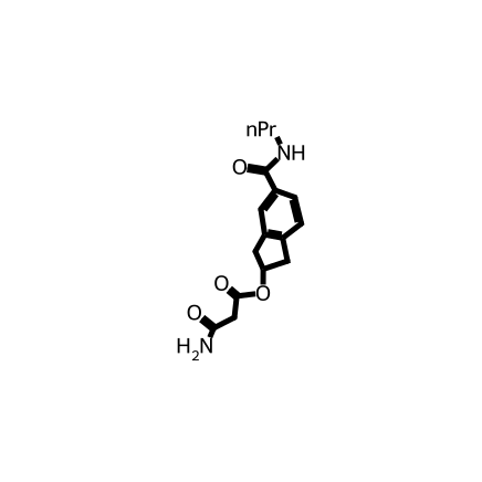 CCCNC(=O)c1ccc2c(c1)CC(OC(=O)CC(N)=O)C2